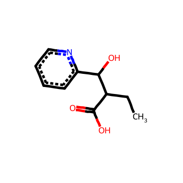 CCC(C(=O)O)C(O)c1ccccn1